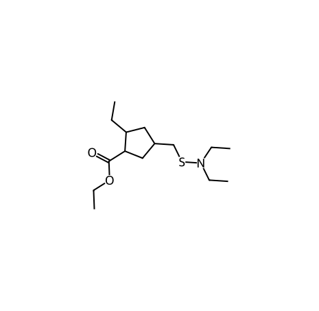 CCOC(=O)C1CC(CSN(CC)CC)CC1CC